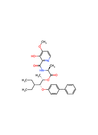 CCC(CC)[C@@H](Oc1ccc(-c2ccccc2)cc1)[C@H](C)OC(=O)[C@H](C)NC(=O)c1nccc(OC)c1O